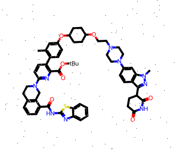 Cc1cc(OC2CCC(OCCN3CCN(c4ccc5c(C6CCC(=O)NC6=O)nn(C)c5c4)CC3)CC2)ccc1-c1ccc(N2CCc3cccc(C(=O)Nc4nc5ccccc5s4)c3C2)nc1C(=O)OC(C)(C)C